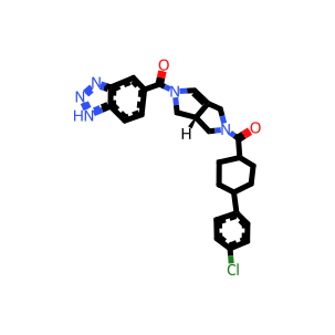 O=C(c1ccc2[nH]nnc2c1)N1C=C2CN(C(=O)C3CCC(c4ccc(Cl)cc4)CC3)C[C@@H]2C1